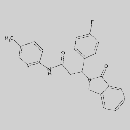 Cc1ccc(NC(=O)CC(c2ccc(F)cc2)N2Cc3ccccc3C2=O)nc1